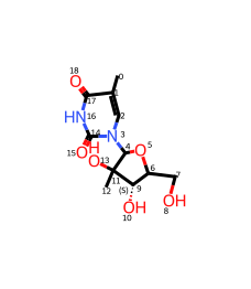 Cc1cn(C2OC(CO)[C@H](O)C2(C)O)c(=O)[nH]c1=O